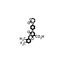 Cc1c(Cn2c(=O)c(C(=O)O)cn(-c3ccc(N4CCCOC4=O)cc3)c2=O)cccc1C(F)(F)F